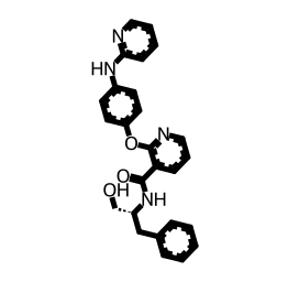 O=C(N[C@@H](CO)Cc1ccccc1)c1cccnc1Oc1ccc(Nc2ccccn2)cc1